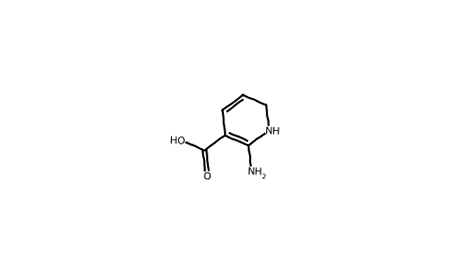 NC1=C(C(=O)O)C=CCN1